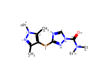 CCCn1nc(C)c(Sc2ncn(C(=O)N(CC)CC)n2)c1C